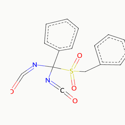 O=C=NC(N=C=O)(c1ccccc1)S(=O)(=O)Cc1ccccc1